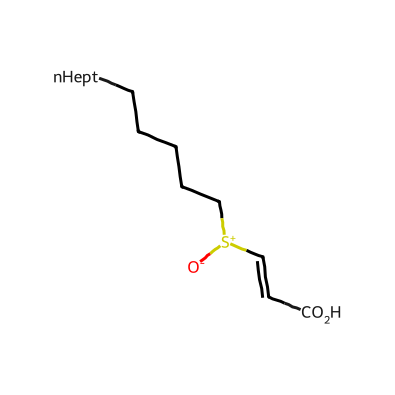 CCCCCCCCCCCC[S+]([O-])C=CC(=O)O